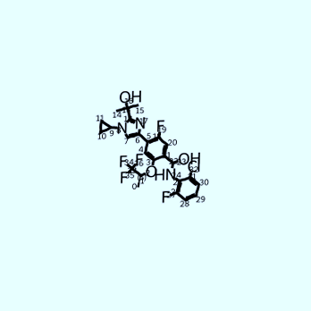 C[C@H](Oc1cc(-c2cn(C3CC3)c(C(C)(C)O)n2)c(F)cc1C(O)Nc1c(F)cccc1Cl)C(F)(F)F